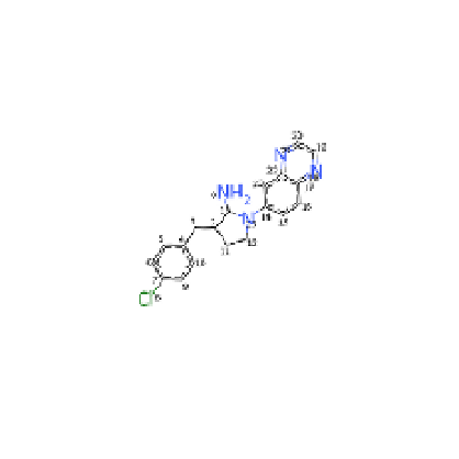 NC1C(Cc2ccc(Cl)cc2)CCN1c1ccc2nccnc2c1